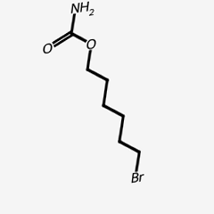 NC(=O)OCCCCCCBr